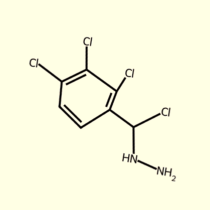 NNC(Cl)c1ccc(Cl)c(Cl)c1Cl